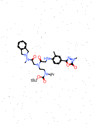 Cc1cc(-c2nn(C)c(=O)o2)ccc1NCC(=O)N(CCN(C(=O)OC(C)(C)C)C(C)C)CC(=O)N(C)N1Cc2ccccc2C1